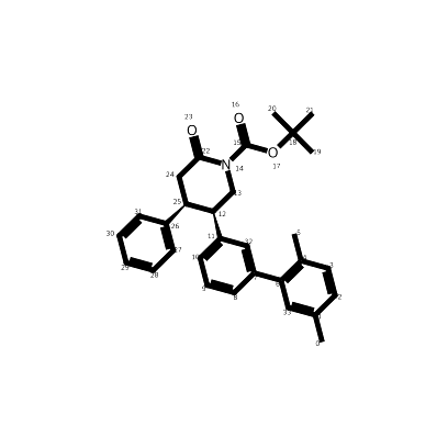 Cc1ccc(C)c(-c2cccc([C@@H]3CN(C(=O)OC(C)(C)C)C(=O)C[C@@H]3c3ccccc3)c2)c1